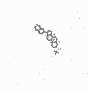 CC(C)(C)N[C@@H]1CC[C@@]2(C)[C@@H](CC[C@@H]3[C@@H]2CC[C@]2(C)C(c4ccc5ccncc5c4)=CC[C@@H]32)C1